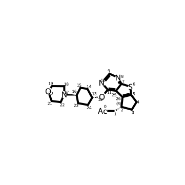 CC(=O)C[C@H]1CCc2sc3ncnc(O[C@H]4CC[C@H](N5CCOCC5)CC4)c3c21